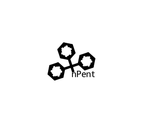 [CH2]CCCCC(c1ccccc1)(c1ccccc1)c1ccccc1